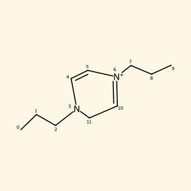 CCCN1C=C[N+](CCC)=CC1